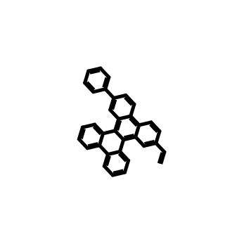 C=Cc1ccc2c3ccc(-c4ccccc4)cc3c3c4ccccc4c4ccccc4c3c2c1